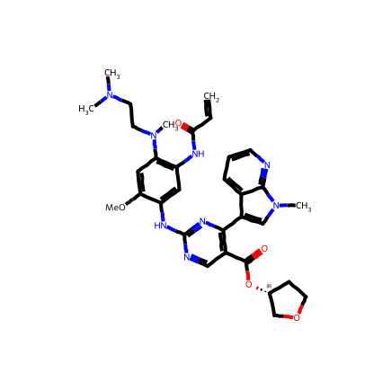 C=CC(=O)Nc1cc(Nc2ncc(C(=O)O[C@@H]3CCOC3)c(-c3cn(C)c4ncccc34)n2)c(OC)cc1N(C)CCN(C)C